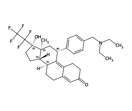 CCN(CC)Cc1ccc([C@H]2C[C@@]3(C)[C@@H](CC[C@@]3(O)C(F)(F)C(F)(F)F)[C@@H]3CCC4=CC(=O)CCC4=C32)cc1